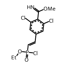 CCOP(=O)(Cl)/C=C/c1cc(Cl)c(C(=N)OC)c(Cl)c1